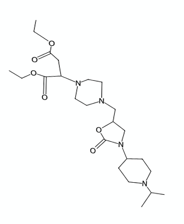 CCOC(=O)CC(C(=O)OCC)N1CCN(CC2CN(C3CCN(C(C)C)CC3)C(=O)O2)CC1